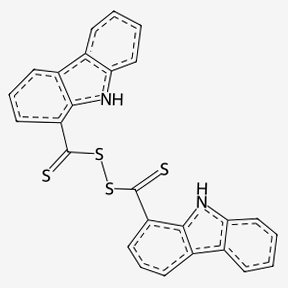 S=C(SSC(=S)c1cccc2c1[nH]c1ccccc12)c1cccc2c1[nH]c1ccccc12